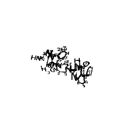 CC1CCN(c2nc3cccc(Cl)c3c(=O)[nH]2)CCN1C(=O)c1ccccc1N/N=C\C=N